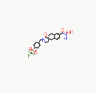 O=C(NO)c1ccc2c(c1)CC[C@]1(CCN(Cc3ccc(S(=O)(=O)C(F)(F)F)cc3)C1=O)C2